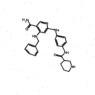 NC(=O)c1cnc(Nc2ccc(NC(=O)C3CCCNC3)cc2)cc1NCc1ccccc1